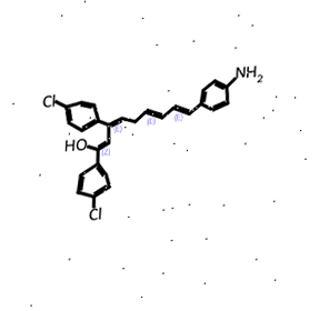 Nc1ccc(/C=C/C=C/C/C=C(\C=C(/O)c2ccc(Cl)cc2)c2ccc(Cl)cc2)cc1